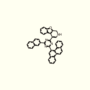 C1=C(c2nc(-c3ccc4ccccc4c3)nc(-c3cc4ccccc4c4ccc5ccccc5c34)n2)c2c(oc3ccccc23)CN1